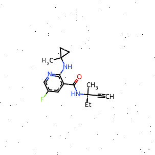 C#C[C@](C)(CC)NC(=O)c1cc(F)cnc1NC1(C)CC1